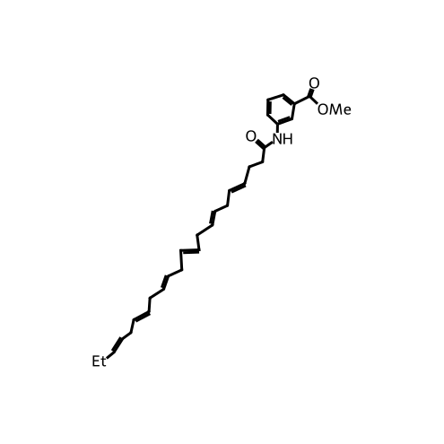 CCC=CCC=CCC=CCC=CCC=CCC=CCCC(=O)Nc1cccc(C(=O)OC)c1